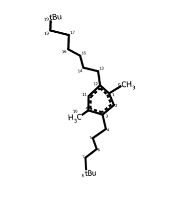 Cc1cc(CCCCC(C)(C)C)c(C)cc1CCCCCCC(C)(C)C